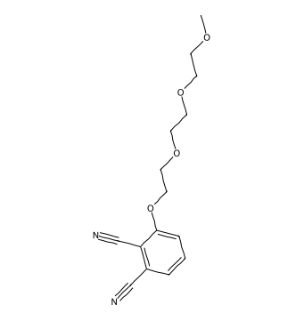 COCCOCCOCCOc1cccc(C#N)c1C#N